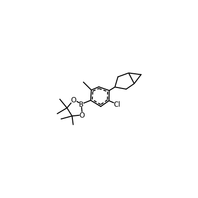 Cc1cc(C2CC3CC3C2)c(Cl)cc1B1OC(C)(C)C(C)(C)O1